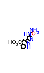 NC(=O)Nc1cnc2[nH]cc(C=C(C(=O)O)c3ccccc3)c2c1